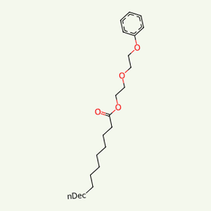 CCCCCCCCCCCCCCCCCC(=O)OCCOCCOc1ccccc1